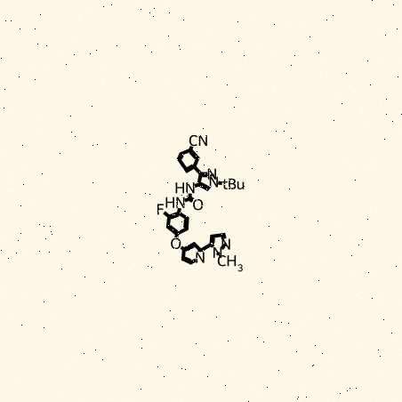 Cn1nccc1-c1cc(Oc2ccc(NC(=O)Nc3cn(C(C)(C)C)nc3-c3cccc(C#N)c3)c(F)c2)ccn1